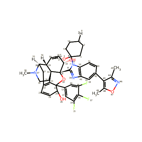 [2H]C1CCC(OC)(n2c([C@]34OC5(c6cc(F)c(F)c(F)c6)C6=C(C=CC5O)C[C@@H]5[C@H](C=C[C@@H]3O)[C@@]64CCN5C)nc3cc(-c4c(C)noc4C)ccc32)CC1